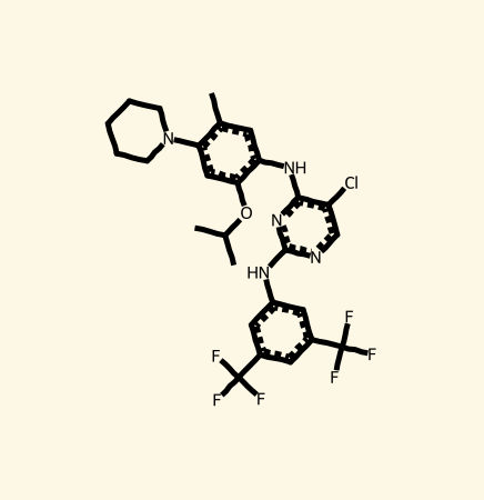 Cc1cc(Nc2nc(Nc3cc(C(F)(F)F)cc(C(F)(F)F)c3)ncc2Cl)c(OC(C)C)cc1N1CCCCC1